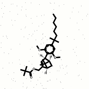 CCCCCCC(C)(C)c1cc(OC)c([C@@H]2C=C(COC(=O)C(C)(C)C)[C@@H]3C[C@H]2C3(C)C)c(OC)c1